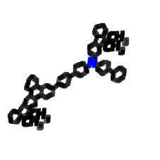 CC1(C)c2ccccc2-c2ccc(N(c3ccc(-c4ccccc4)cc3)c3ccc(-c4ccc(-c5ccc6c(c5)c5ccccc5c5cc7c(cc65)C(C)(C)c5ccccc5-7)cc4)cc3)cc21